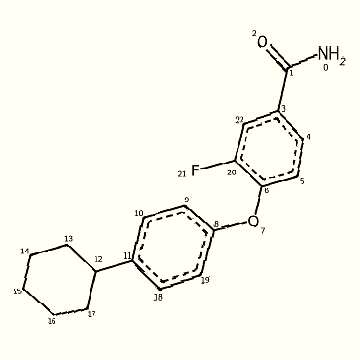 NC(=O)c1ccc(Oc2ccc(C3CCCCC3)cc2)c(F)c1